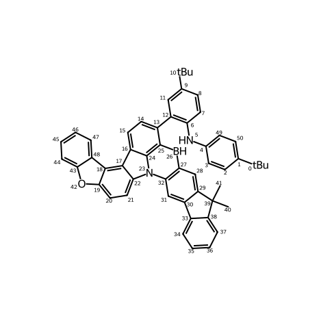 CC(C)(C)c1ccc(Nc2ccc(C(C)(C)C)cc2-c2ccc3c4c5c(ccc4n4c3c2Bc2cc3c(cc2-4)-c2ccccc2C3(C)C)oc2ccccc25)cc1